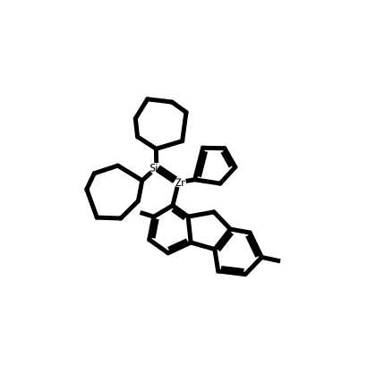 Cc1ccc2c(c1)Cc1c-2ccc(C)[c]1[Zr]([C]1=CC=CC1)=[Si](C1CCCCCC1)C1CCCCCC1